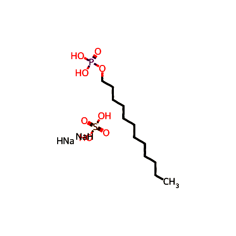 CCCCCCCCCCCCOP(=O)(O)O.O=S(=O)(O)O.[NaH].[NaH]